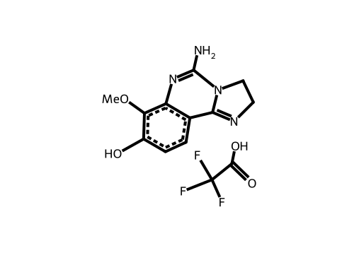 COc1c(O)ccc2c1N=C(N)N1CCN=C21.O=C(O)C(F)(F)F